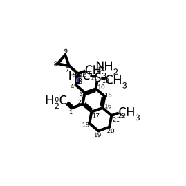 C=Cc1c(/C=C(\C)C2CC2)c(S(C)(C)N)cc2c1CCCC2C